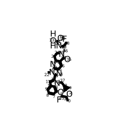 CC(=O)C(F)Oc1cccc2cc(-c3nc4cc5c(nc4n3C)CCN(C[C@@H](CF)NC(=O)O)C5=O)n(CC3CC3)c12